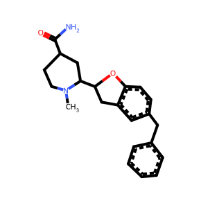 CN1CCC(C(N)=O)CC1C1Cc2cc(Cc3ccccc3)ccc2O1